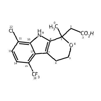 CC1(CC(=O)O)OCCc2c1[nH]c1c(Cl)ccc(C(F)(F)F)c21